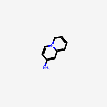 NC1=CC2=CC=CCN2C=C1